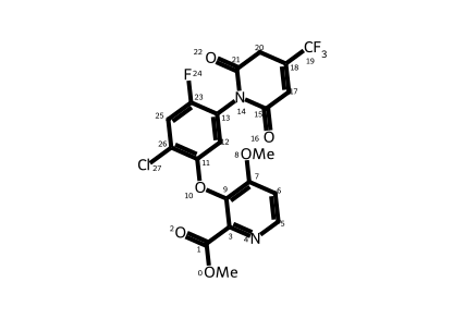 COC(=O)c1nccc(OC)c1Oc1cc(N2C(=O)C=C(C(F)(F)F)CC2=O)c(F)cc1Cl